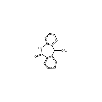 CC(=O)OC1c2ccccc2NC(=O)c2ccccc21